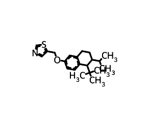 CC(C)C1CCc2cc(OCc3cncs3)ccc2C1C(C)(C)C